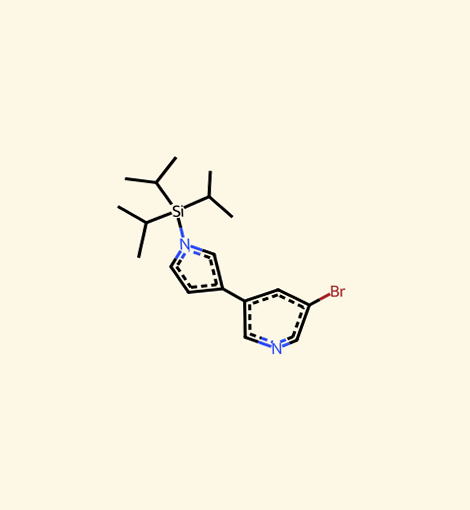 CC(C)[Si](C(C)C)(C(C)C)n1ccc(-c2cncc(Br)c2)c1